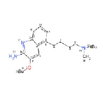 CCCCOc1cc2c(CCCCN(C)C(C)(C)C)cccc2nc1N